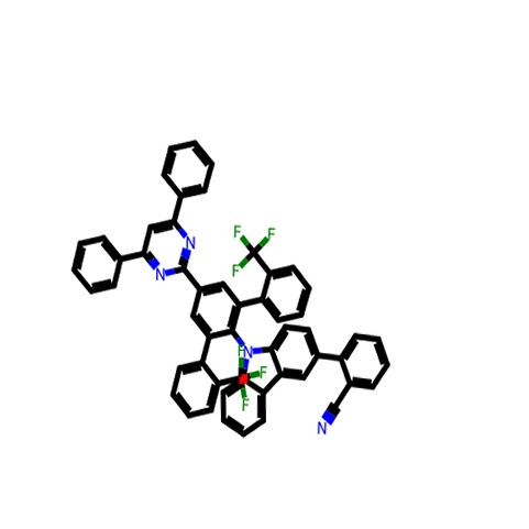 N#Cc1ccccc1-c1ccc2c(c1)c1ccccc1n2-c1c(-c2ccccc2C(F)(F)F)cc(-c2nc(-c3ccccc3)cc(-c3ccccc3)n2)cc1-c1ccccc1C(F)(F)F